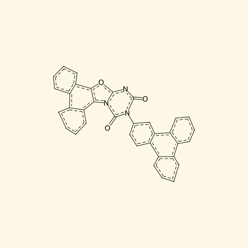 O=c1nc2oc3c4ccccc4c4ccccc4c3n2c(=O)n1-c1ccc2c3ccccc3c3ccccc3c2c1